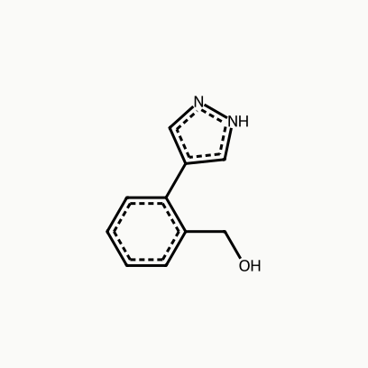 OCc1ccccc1-c1cn[nH]c1